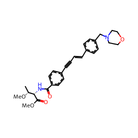 COC(=O)[C@@H](NC(=O)c1ccc(C#CC=Cc2ccc(CN3CCOCC3)cc2)cc1)[C@@H](C)OC